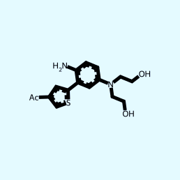 CC(=O)c1csc(-c2cc(N(CCO)CCO)ccc2N)c1